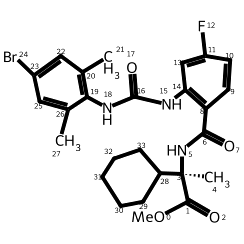 COC(=O)[C@](C)(NC(=O)c1ccc(F)cc1NC(=O)Nc1c(C)cc(Br)cc1C)C1CCCCC1